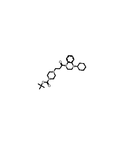 CC(C)(C)OC(=O)N1CCN(CCC(=O)N2CCN(C3CCCCC3)c3ccccc32)CC1